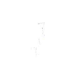 CC(C)(C)NCCNC1CC1